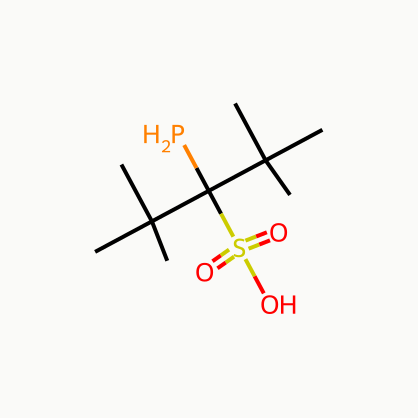 CC(C)(C)C(P)(C(C)(C)C)S(=O)(=O)O